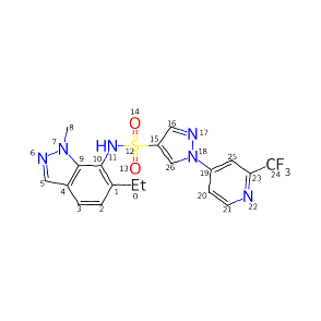 CCc1ccc2cnn(C)c2c1NS(=O)(=O)c1cnn(-c2ccnc(C(F)(F)F)c2)c1